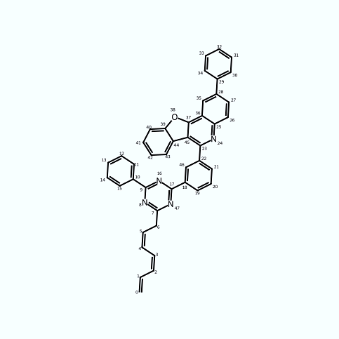 C=C/C=C\C=C/Cc1nc(-c2ccccc2)nc(-c2cccc(-c3nc4ccc(-c5ccccc5)cc4c4oc5ccccc5c34)c2)n1